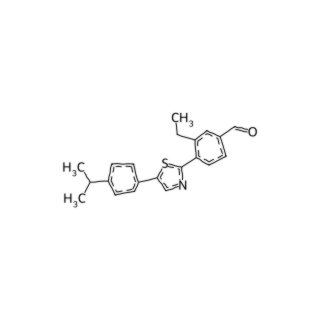 CCc1cc(C=O)ccc1-c1ncc(-c2ccc(C(C)C)cc2)s1